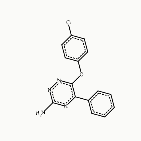 Nc1nnc(Oc2ccc(Cl)cc2)c(-c2ccccc2)n1